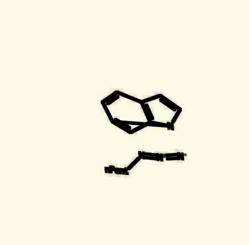 CCCCCN=[N+]=[N-].c1cc2ccn3c2cc1-3